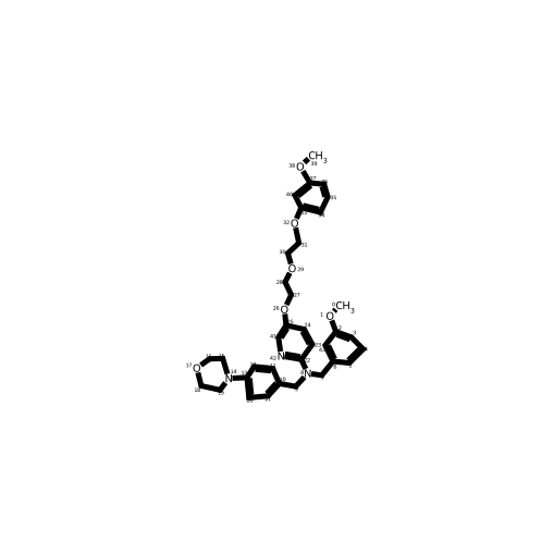 COc1cccc(CN(Cc2ccc(N3CCOCC3)cc2)c2ccc(OCCOCCOc3cccc(OC)c3)cn2)c1